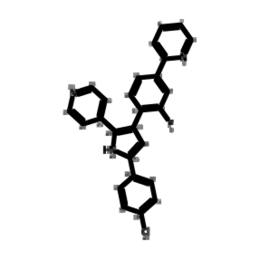 Fc1cc(-c2ccccn2)ccc1-c1cc(-c2ccc(Cl)cc2)[nH]c1-c1ccncc1